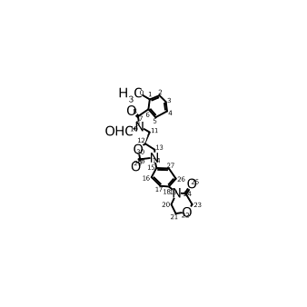 Cc1ccccc1C(=O)N(C=O)C[C@H]1CN(c2ccc(N3CCOCC3=O)cc2)C(=O)O1